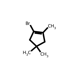 CC1=C(Br)CC(C)(C)C1